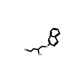 OC(CCCl)COc1ccc2ccccc2c1